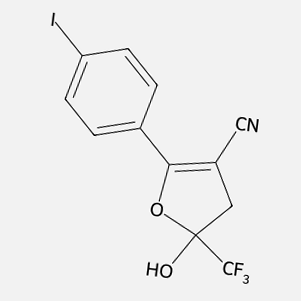 N#CC1=C(c2ccc(I)cc2)OC(O)(C(F)(F)F)C1